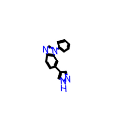 c1ccc(-n2cnc3ccc(-c4cn[nH]c4)cc32)cc1